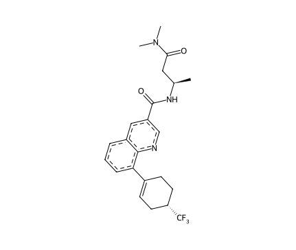 C[C@H](CC(=O)N(C)C)NC(=O)c1cnc2c(C3=CC[C@@H](C(F)(F)F)CC3)cccc2c1